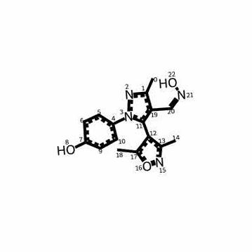 Cc1nn(-c2ccc(O)cc2)c(-c2c(C)noc2C)c1/C=N\O